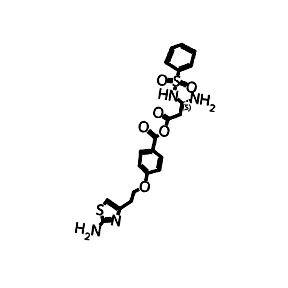 Nc1nc(CCOc2ccc(C(=O)OC(=O)C[C@@H](N)NS(=O)(=O)c3ccccc3)cc2)cs1